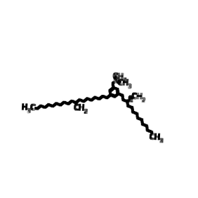 C=C=C(CCCCCCCCCCC)CCc1cc(CCCCCCCCC(=C)CCCCCCCCCCC)cc(CN(C)C)c1